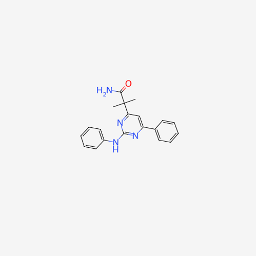 CC(C)(C(N)=O)c1cc(-c2ccccc2)nc(Nc2ccccc2)n1